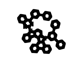 c1ccc(-c2cccc(-c3nc(-n4c5ccccc5c5c6c7c8ccccc8c8ccccc8c7n(-c7cc(-c8ccccc8)cc(-c8ccccc8)c7)c6ccc54)nc4ccccc34)c2)cc1